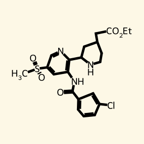 CCOC(=O)CC1CCNC(c2ncc(S(C)(=O)=O)cc2NC(=O)c2cccc(Cl)c2)C1